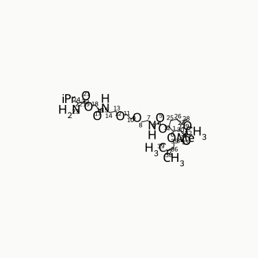 COC1C(OC(=O)NCCOCCOCCNC(=O)COC(=O)[C@@H](N)C(C)C)CC[C@]2(CO2)C1C1(C)O[C@@H]1CC=C(C)C